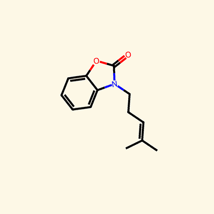 CC(C)=CCCn1c(=O)oc2ccccc21